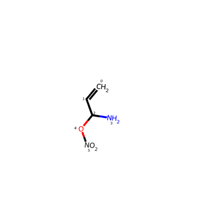 C=CC(N)O[N+](=O)[O-]